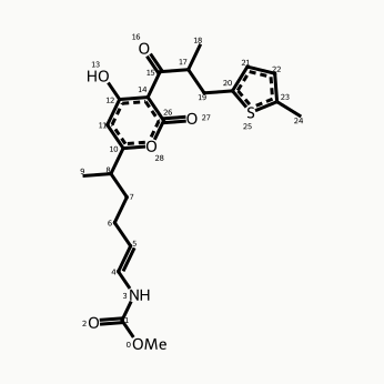 COC(=O)N/C=C/CCC(C)c1cc(O)c(C(=O)C(C)Cc2ccc(C)s2)c(=O)o1